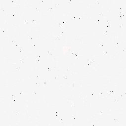 C=CCOc1ccc(C(CCC)C(=O)O)cc1[N+](=O)[O-]